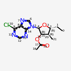 CC[C@H]1OC(n2cnc3c(Cl)ncnc32)[C@H](OC(C)=O)[C@@H]1C